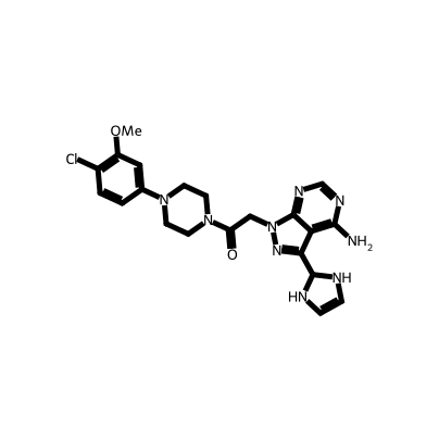 COc1cc(N2CCN(C(=O)Cn3nc(C4NC=CN4)c4c(N)ncnc43)CC2)ccc1Cl